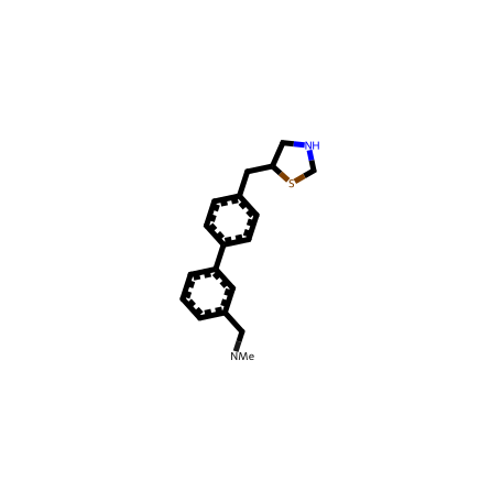 CNCc1cccc(-c2ccc(CC3CNCS3)cc2)c1